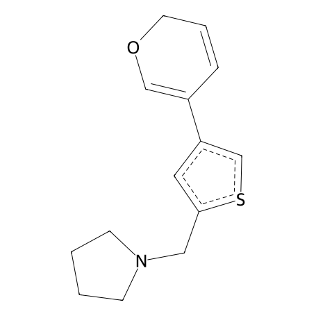 C1=CC(c2csc(CN3CCCC3)c2)=COC1